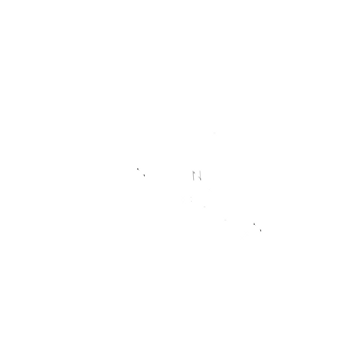 Cc1ccc2c(c1)c1c(n2CC2(O)CCc3cnccc32)CCN2CCCC12